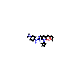 Cc1ccc(Cc2cc3cnc(NC4CCC(N(C)C)CC4)nc3n(C3CCCC3)c2=O)o1